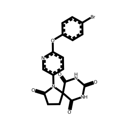 O=C1NC(=O)C2(CCC(=O)N2c2ccc(Oc3ccc(Br)cc3)nc2)C(=O)N1